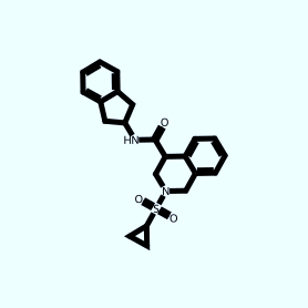 O=C(NC1Cc2ccccc2C1)C1CN(S(=O)(=O)C2CC2)Cc2ccccc21